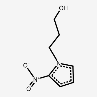 O=[N+]([O-])c1cccn1CCCO